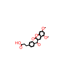 COc1cc(OC)c2cc(C(=O)c3ccc(CCC(=O)O)cc3)c(=O)oc2c1